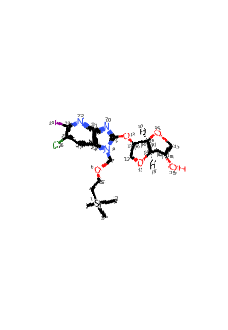 C[Si](C)(C)CCOCn1c(O[C@@H]2CO[C@H]3[C@@H]2OC[C@H]3O)nc2nc(I)c(Cl)cc21